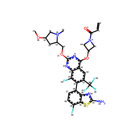 C=CC(=O)N1CC(Oc2nc(OCC3CC(OC)CN3C)nc3c(F)c(-c4ccc(F)c5sc(N)nc45)c(C(F)(F)F)cc23)C1